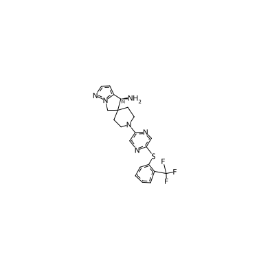 N[C@@H]1c2ccnn2CC12CCN(c1cnc(Sc3ccccc3C(F)(F)F)cn1)CC2